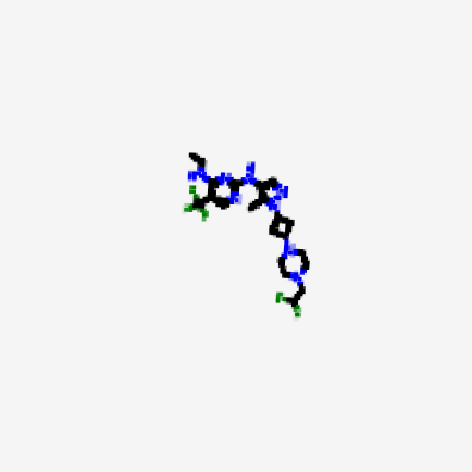 CCNc1nc(Nc2cnn([C@H]3C[C@H](N4CCN(CC(F)F)CC4)C3)c2C)ncc1C(F)(F)F